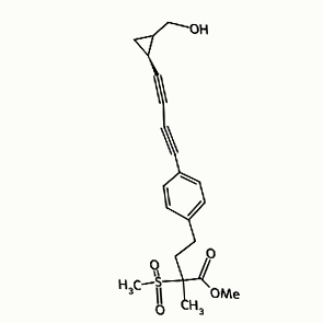 COC(=O)C(C)(CCc1ccc(C#CC#C[C@H]2CC2CO)cc1)S(C)(=O)=O